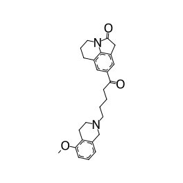 COc1cccc2c1CCN(CCCCC(=O)c1cc3c4c(c1)CC(=O)N4CCC3)C2